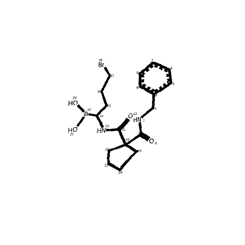 O=C(NCc1ccccc1)C1(C(=O)NC(CCCBr)B(O)O)CCCC1